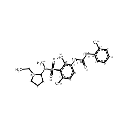 CCN1CCCC1N(C)S(=O)(=O)c1c(Cl)ccc(NC(=O)Nc2ccccc2Cl)c1O